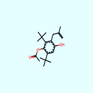 C=C(C)Cc1c(O)cc(C(C)(C)C)c(OC(C)=O)c1C(C)(C)C